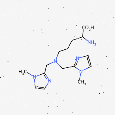 Cn1ccnc1CN(CCCC(N)C(=O)O)Cc1nccn1C